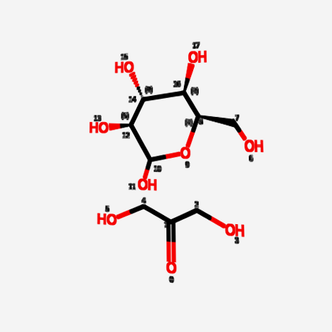 O=C(CO)CO.OC[C@H]1OC(O)[C@@H](O)[C@H](O)[C@H]1O